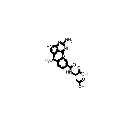 CC(c1ccc(C(=O)N[C@@H](CC(=O)O)C(=O)O)cc1)c1c[nH]c2nc(N)[nH]c(=O)c12